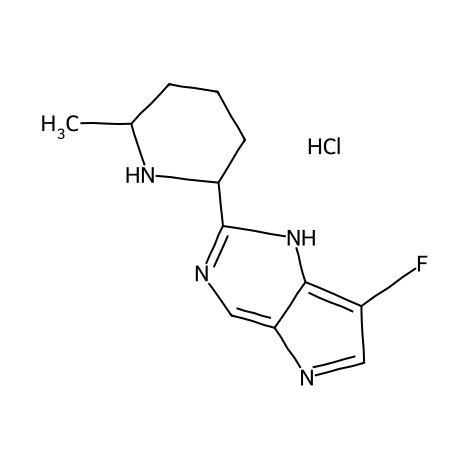 CC1CCCC(c2ncc3ncc(F)c-3[nH]2)N1.Cl